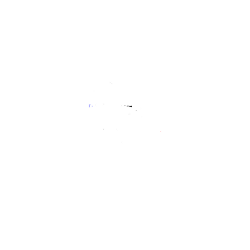 C[C@@]12C=CC3CNC(Cc4ccc(O)cc41)C2C3